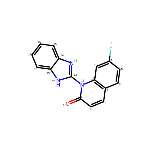 O=c1ccc2ccc(F)cc2n1-c1nc2ccccc2[nH]1